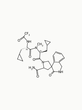 CN(C(=O)[C@H](CC1CC1)NC(=O)C(F)(F)F)[C@@H](CC1CC1)C(=O)N1CC2(CC1C(N)=O)C(=O)NCc1ccccc12